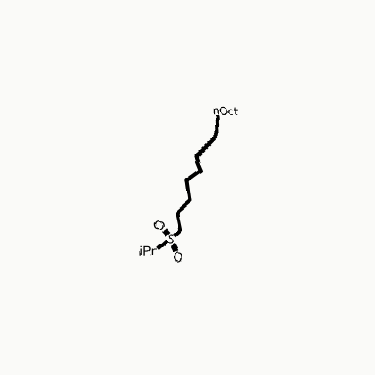 [CH2]C(C)S(=O)(=O)CCCCCCCCCCCCCCC